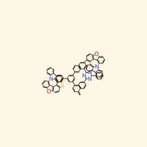 C=C(/C=C\C(=C/C)c1cc(-c2ccccc2)cc(-c2cccc3c2sc2ccc4oc5cccc(-n6c7ccccc7c7ccccc76)c5c4c23)c1)c1ccc(-c2nc(-c3ccccc3)nc(-c3cccc4c3sc3c4ccc4oc5cccc(-n6c7ccccc7c7ccccc76)c5c43)n2)cc1